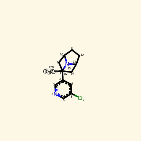 O=CC1(c2cncc(Cl)c2)CC2CCC(C1)N2CC(F)(F)F